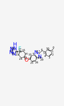 Cc1cccc(Cc2nc3cc(O[C@H]4CC[C@@](F)(c5nnn[nH]5)CC4)ccc3n2C)c1